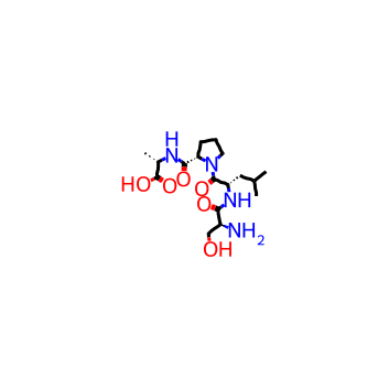 CC(C)C[C@H](NC(=O)[C@@H](N)CO)C(=O)N1CCC[C@H]1C(=O)N[C@@H](C)C(=O)O